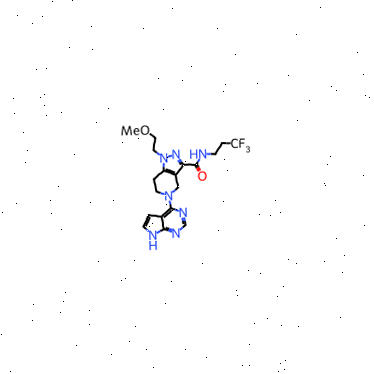 COCCn1nc(C(=O)NCCC(F)(F)F)c2c1CCN(c1ncnc3[nH]ccc13)C2